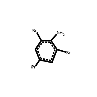 CC(C)c1cc(Br)c(N)c(Br)c1